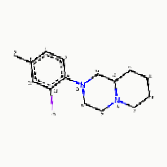 Cc1ccc(N2CCN3CCCCC3C2)c(I)c1